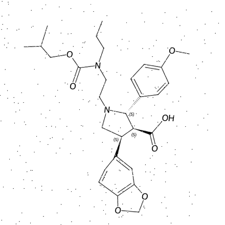 CCCN(CCN1C[C@H](c2ccc3c(c2)OCO3)[C@H](C(=O)O)[C@H]1c1ccc(OC)cc1)C(=O)OCC(C)C